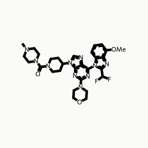 COc1cccc2c1nc(C(F)F)n2-c1nc(N2CCOCC2)nc2c1ncn2C1CCN(C(=O)N2CCN(C)CC2)CC1